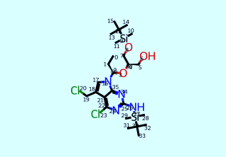 CC[C@@H](O[C@H](CO)CO[Si](C)(C)C(C)(C)C)n1cc(CCl)c2c(Cl)nc(N[Si](C)(C)C(C)(C)C)nc21